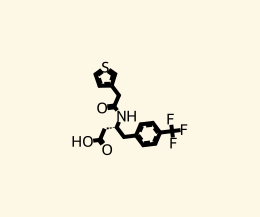 O=C(O)C[C@@H](Cc1ccc(C(F)(F)F)cc1)NC(=O)Cc1ccsc1